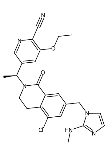 CCOc1cc([C@H](C)N2CCc3c(Cl)cc(Cn4ccnc4NC)cc3C2=O)cnc1C#N